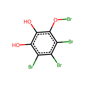 Oc1c(O)c(OBr)c(Br)c(Br)c1Br